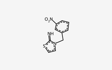 N=c1sccn1Cc1cccc([N+](=O)[O-])c1